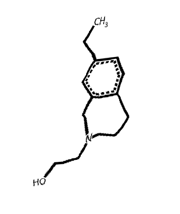 CCc1ccc2c(c1)CN(CCO)CC2